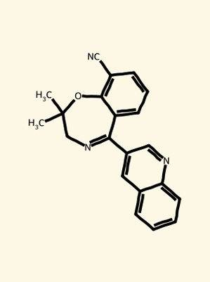 CC1(C)CN=C(c2cnc3ccccc3c2)c2cccc(C#N)c2O1